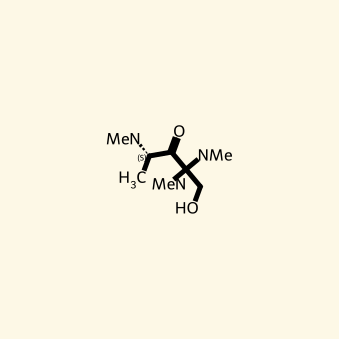 CN[C@@H](C)C(=O)C(CO)(NC)NC